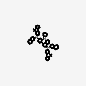 CC1(C)c2ccccc2-c2ccc(N(c3ccc4c(c3)N(c3ccccc3)c3cccc5c(N(c6ccc7c(c6)C(C)(C)c6ccccc6-7)c6ccc7ccccc7c6)ccc-4c35)c3ccc4ccccc4c3)cc21